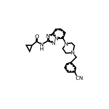 N#Cc1cccc(CN2CCN(c3cccc4nc(NC(=O)C5CC5)nn34)CC2)c1